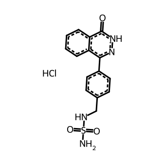 Cl.NS(=O)(=O)NCc1ccc(-c2n[nH]c(=O)c3ccccc23)cc1